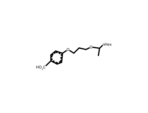 CCCCCCC(C)OCCCOc1ccc(C(=O)O)cc1